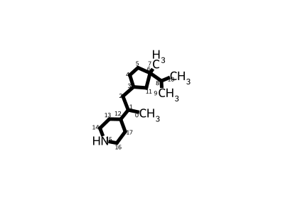 CC(CC1CCC(C)(C(C)C)C1)C1CCNCC1